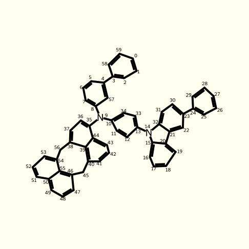 c1ccc(-c2cccc(N(c3ccc(-n4c5ccccc5c5cc(-c6ccccc6)ccc54)cc3)c3ccc4c5c(cccc35)Cc3cccc5cccc(c35)C4)c2)cc1